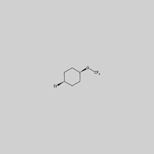 CC[C@H]1CC[C@@H](OC(F)(F)F)CC1